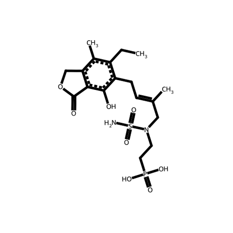 CCc1c(C)c2c(c(O)c1C/C=C(\C)CN(CCP(=O)(O)O)S(N)(=O)=O)C(=O)OC2